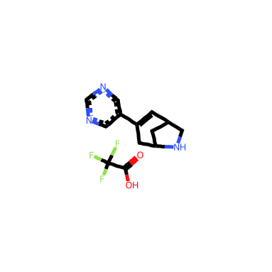 C1=C(c2cncnc2)CC2CC1CN2.O=C(O)C(F)(F)F